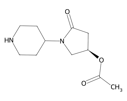 CC(=O)O[C@@H]1CC(=O)N(C2CCNCC2)C1